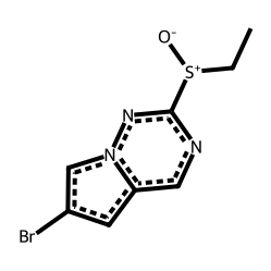 CC[S+]([O-])c1ncc2cc(Br)cn2n1